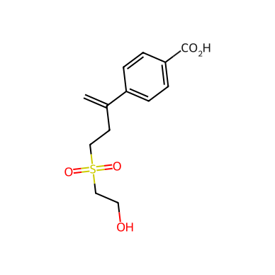 C=C(CCS(=O)(=O)CCO)c1ccc(C(=O)O)cc1